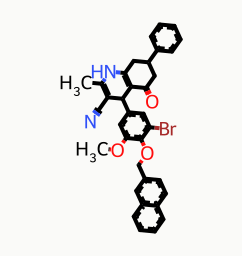 COc1cc(C2C(C#N)=C(C)NC3=C2C(=O)CC(c2ccccc2)C3)cc(Br)c1OCc1ccc2ccccc2c1